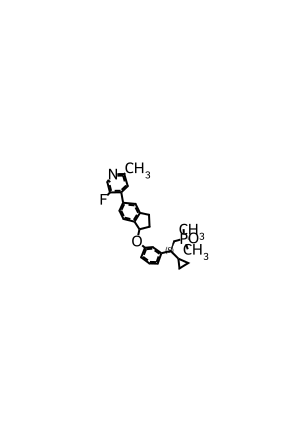 Cc1cc(-c2ccc3c(c2)CCC3Oc2cccc([C@@H](CP(C)(C)=O)C3CC3)c2)c(F)cn1